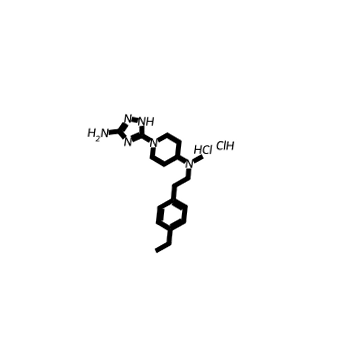 CCc1ccc(CCN(C)C2CCN(c3nc(N)n[nH]3)CC2)cc1.Cl.Cl